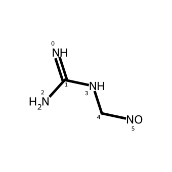 N=C(N)NCN=O